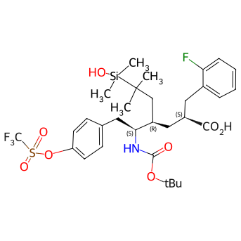 CC(C)(C)OC(=O)N[C@@H](Cc1ccc(OS(=O)(=O)C(F)(F)F)cc1)[C@H](C[C@@H](Cc1ccccc1F)C(=O)O)CC(C)(C)[Si](C)(C)O